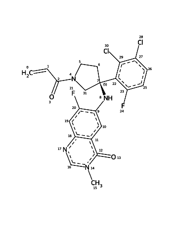 C=CC(=O)N1CC[C@](Nc2cc3c(=O)n(C)cnc3cc2F)(c2c(F)ccc(Cl)c2Cl)C1